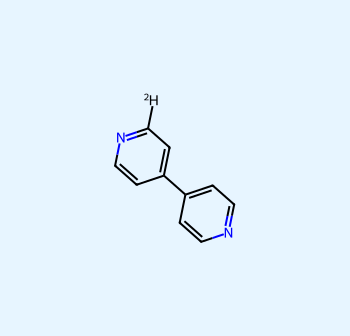 [2H]c1cc(-c2ccncc2)ccn1